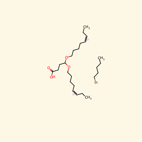 CC/C=C\CCCCOC(CCC(=O)O)OCCCC/C=C\CC.CCCCCBr